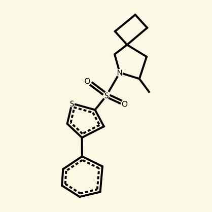 CC1CC2(CCC2)CN1S(=O)(=O)c1cc(-c2ccccc2)cs1